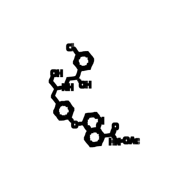 CC(=O)ONC(=O)c1cccc2c(Oc3ccc(C[C@@H](CO)NC[C@@H](O)c4cccc(Cl)c4)cc3)ccnc12